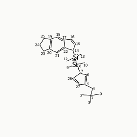 CC(C)(C)CC1=CC([Si](C)(C)[Si](C)(C)C2C=Cc3cc4c(cc32)CCC4)C=C1